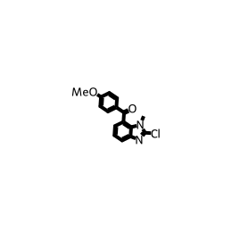 COc1ccc(C(=O)c2cccc3nc(Cl)n(C)c23)cc1